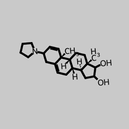 C[C@]12C=CC(N3CCCC3)CC1=CC[C@@H]1[C@H]2CC[C@]2(C)C(O)C(O)C[C@@H]12